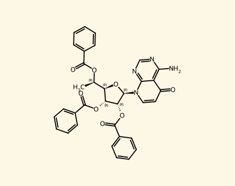 C[C@@H](OC(=O)c1ccccc1)[C@H]1O[C@@H](n2ccc(=O)c3c(N)ncnc32)[C@H](OC(=O)c2ccccc2)[C@@H]1OC(=O)c1ccccc1